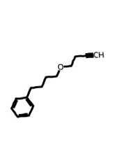 C#CCCOCCCCc1ccccc1